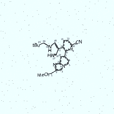 COCc1cn2ccc(-c3nc(C#N)ccc3/C(C=N)=C/NCC(C)(C)C)cc2n1